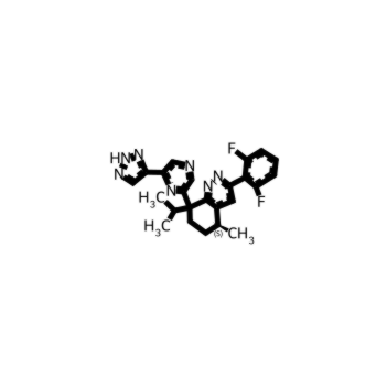 CC(C)C1(c2cncc(-c3cn[nH]n3)n2)CC[C@H](C)c2cc(-c3c(F)cccc3F)nnc21